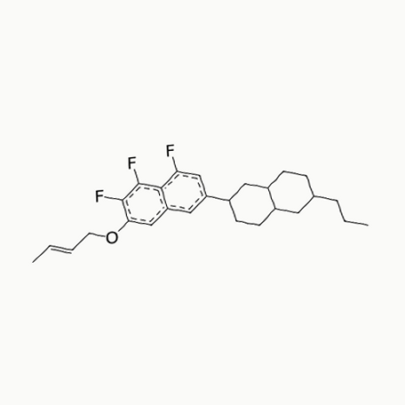 CC=CCOc1cc2cc(C3CCC4CC(CCC)CCC4C3)cc(F)c2c(F)c1F